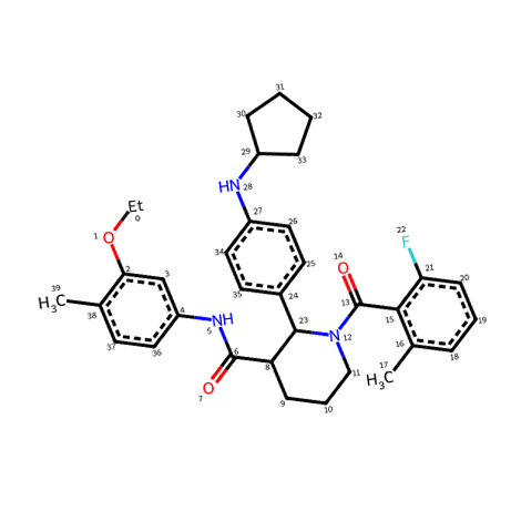 CCOc1cc(NC(=O)C2CCCN(C(=O)c3c(C)cccc3F)C2c2ccc(NC3CCCC3)cc2)ccc1C